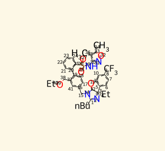 CCCCC1=N[C@](CC)(c2ccc(C(F)(F)F)cc2)C(=O)N1Cc1ccc(-c2ccccc2S(=O)(=O)Nc2noc(C)c2C)c(COCC)c1